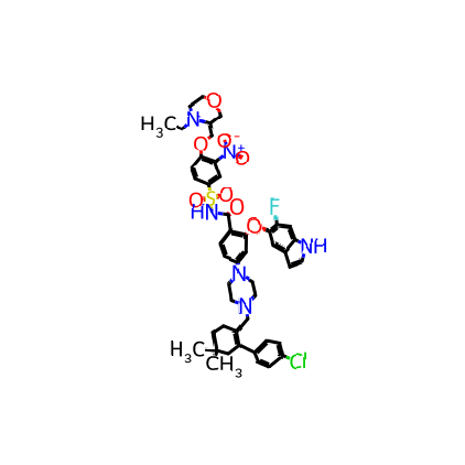 CCN1CCOCC1COc1ccc(S(=O)(=O)NC(=O)c2ccc(N3CCN(CC4=C(c5ccc(Cl)cc5)CC(C)(C)CC4)CC3)cc2Oc2cc3cc[nH]c3cc2F)cc1[N+](=O)[O-]